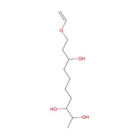 C=COCCC(O)CCCCC(O)C(C)O